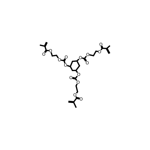 C=C(C)C(=O)OCCOC(=O)OC1CC(OC(=O)OCCOC(=O)C(=C)C)CC(OC(=O)OCCOC(=O)C(=C)C)C1